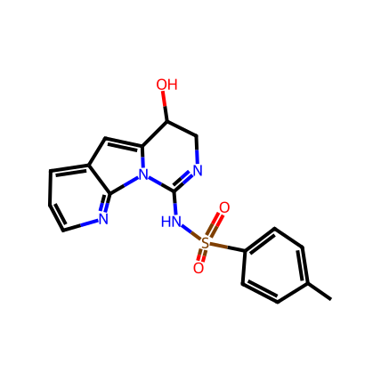 Cc1ccc(S(=O)(=O)NC2=NCC(O)c3cc4cccnc4n32)cc1